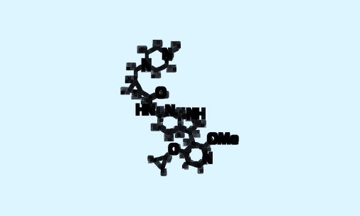 COc1nccc(OC2CC2)c1-c1c[nH]c2nc(NC(=O)C3CC3CN3CCN(C)CC3)ccc12